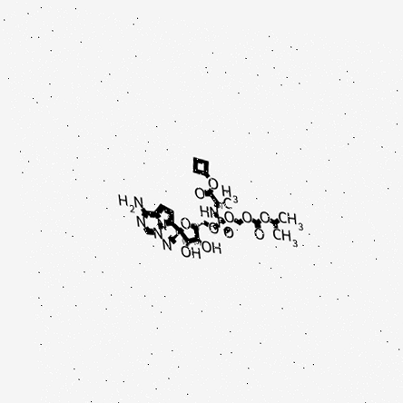 CC(C)OC(=O)OCOP(=O)(N[C@@H](C)C(=O)OC1CCC1)OC[C@H]1O[C@@](C#N)(c2ccc3c(N)ncnn23)[C@H](O)[C@@H]1O